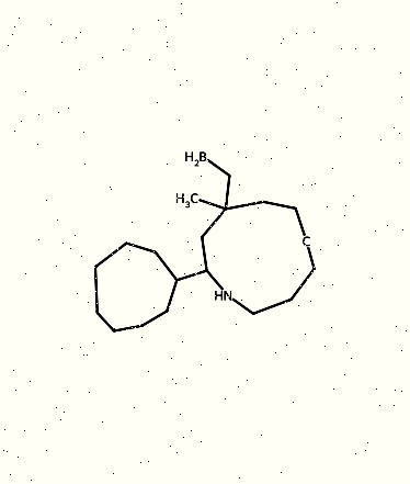 BCC1(C)CCCCCCNC(C2CCCCCCC2)C1